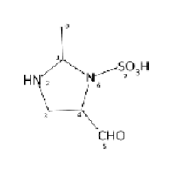 CC1NCC(C=O)N1S(=O)(=O)O